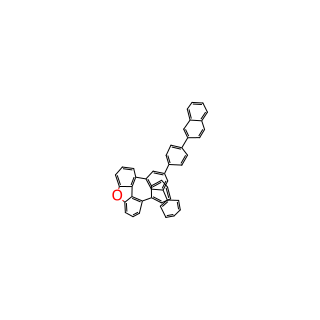 c1ccc(-c2cc(-c3ccc(-c4ccc5ccccc5c4)cc3)cc(-c3cccc4oc5cccc(-c6ccccc6)c5c34)c2)cc1